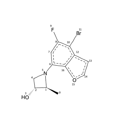 C[C@H]1[C@H](O)CN1c1cc(F)c(Br)c2ccoc12